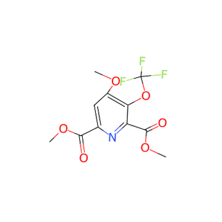 COC(=O)c1cc(OC)c(OC(F)(F)F)c(C(=O)OC)n1